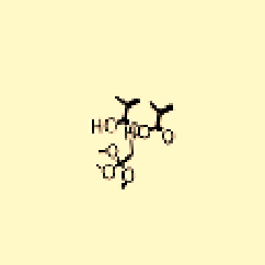 C=C(C)C(=O)O.C=C(C)C(=O)O.CCC(OC)(OC)OC